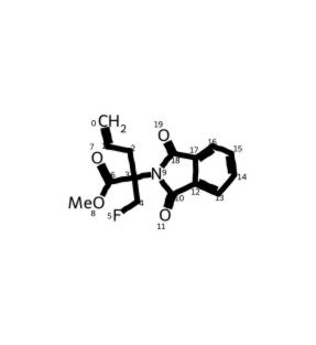 C=CCC(CF)(C(=O)OC)N1C(=O)c2ccccc2C1=O